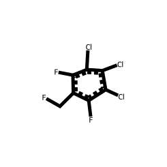 FCc1c(F)c(Cl)c(Cl)c(Cl)c1F